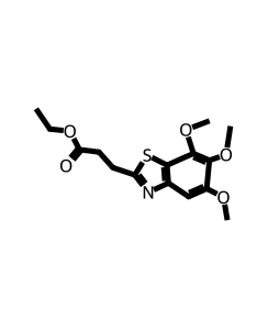 CCOC(=O)CCc1nc2cc(OC)c(OC)c(OC)c2s1